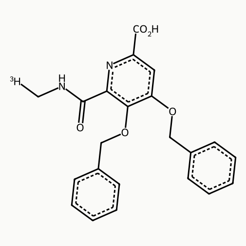 [3H]CNC(=O)c1nc(C(=O)O)cc(OCc2ccccc2)c1OCc1ccccc1